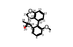 COc1cccc(OC)c1-c1cccc2c1[P@](C(C)(C)C)CO2